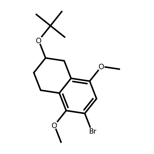 COc1cc(Br)c(OC)c2c1CC(OC(C)(C)C)CC2